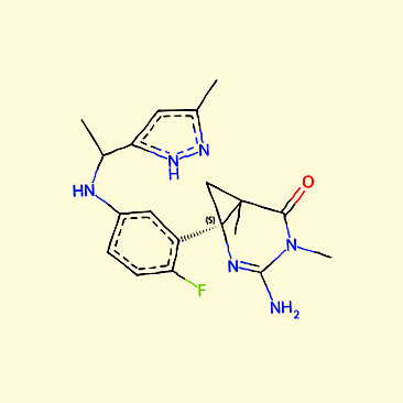 Cc1cc(C(C)Nc2ccc(F)c([C@]34CC3(C)C(=O)N(C)C(N)=N4)c2)[nH]n1